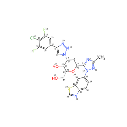 Cc1nc([C@H]2C[C@@H](n3cc(-c4cc(F)c(Cl)c(F)c4)nn3)[C@@H](O)[C@@H](CO)O2)n(-c2ccc3ncsc3c2)n1